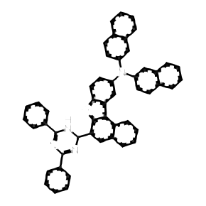 c1ccc(C2=NC(c3cc4ccccc4c4c3oc3ccc(N(c5ccc6ccccc6c5)c5ccc6ccccc6c5)cc34)NC(c3ccccc3)=N2)cc1